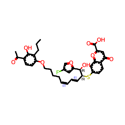 CCCc1c(OCCCC/C=C\C=C\[C@H](Sc2ccc3c(=O)cc(C(=O)O)oc3c2)[C@H](O)c2cc(F)co2)ccc(C(C)=O)c1O